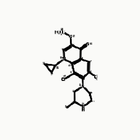 CC1CN(c2c(Cl)cc3c(=O)c(OC(=O)O)cn(C4CC4)c3c2Cl)CCN1